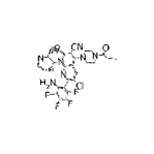 C=CC(=O)N1CCN(c2c(C#N)c(=O)n(C3C(C(C)C)=NC=C[C@H]3C)c3nc(-c4c(N)c(F)c(F)c(F)c4F)c(Cl)cc23)CC1